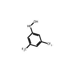 OPc1cc(C(F)(F)F)cc(C(F)(F)F)c1